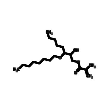 C=C(C)C(=O)OCC(O)C(CCCCC)OCCCCCCCC